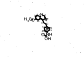 COc1ccc2ncc(F)c(CCC34CCC(NC(=O)O)(CC3)CO4)c2c1